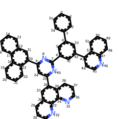 c1ccc(-c2cc(-c3nc(-c4cc5ccccc5c5ccccc45)cc(-c4cc5cccnc5c5ncccc45)n3)cc(-c3ccnc4ccccc34)c2)cc1